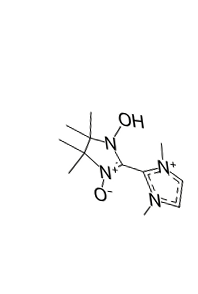 Cn1cc[n+](C)c1C1=[N+]([O-])C(C)(C)C(C)(C)N1O